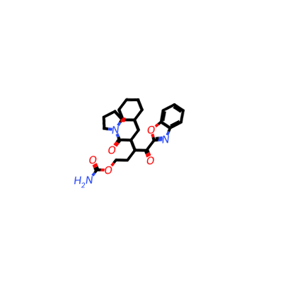 NC(=O)OCCC(C(=O)c1nc2ccccc2o1)C(CC1CCCCC1)C(=O)N1CCCC1